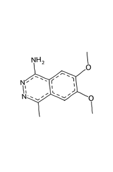 COc1cc2c(C)nnc(N)c2cc1OC